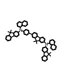 CC1(C)c2ccccc2-c2ccc(N(c3ccc(-c4ccc5c(c4)C(C)(C)c4cc(N(c6ccc7c(c6)C(C)(C)c6ccccc6-7)c6cccc7ccccc67)ccc4-5)cc3)c3cccc4ccccc34)cc21